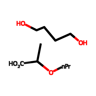 CCCOC(C)C(=O)O.OCCCCO